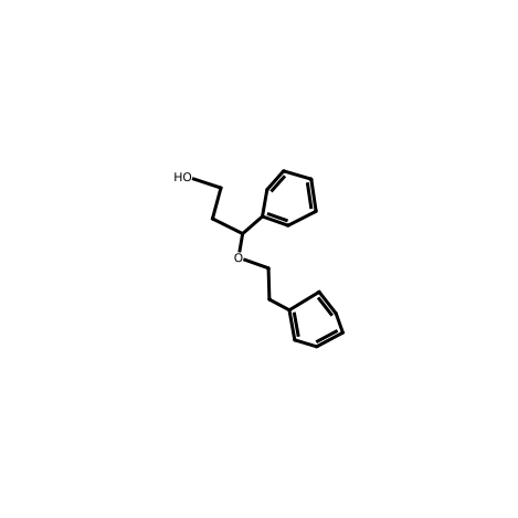 OCCC(OCCc1ccccc1)c1ccccc1